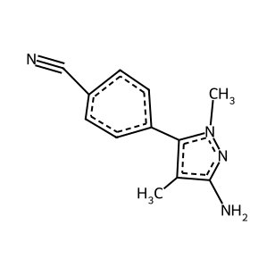 Cc1c(N)nn(C)c1-c1ccc(C#N)cc1